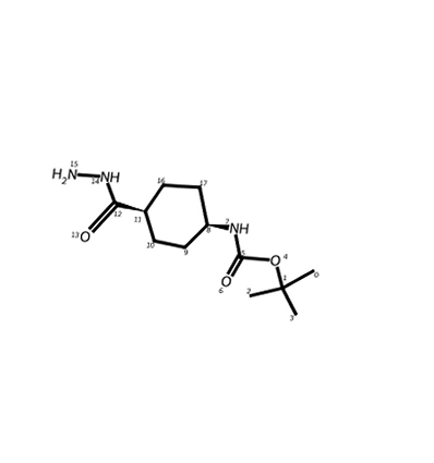 CC(C)(C)OC(=O)N[C@H]1CC[C@@H](C(=O)NN)CC1